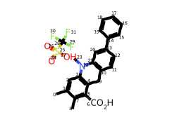 Cc1cc2c(c(C(=O)O)c1C)Cc1ccc(-c3ccccc3)cc1N2C.O=S(=O)(O)C(F)(F)F